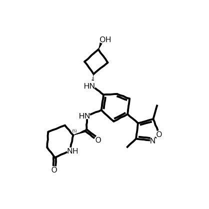 Cc1noc(C)c1-c1ccc(N[C@H]2C[C@H](O)C2)c(NC(=O)[C@@H]2CCCC(=O)N2)c1